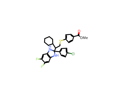 COC(=O)c1ccc(SCC(C2CCCCC2)C2(c3ccc(Cl)cc3)Nc3cc(F)c(F)cc3N2)cc1